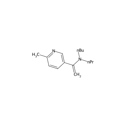 C=C(c1ccc(C)nc1)N(CCC)CCCC